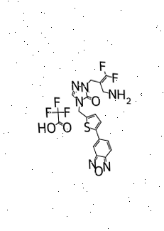 NCC(Cn1ncn(Cc2ccc(-c3ccc4nonc4c3)s2)c1=O)=C(F)F.O=C(O)C(F)(F)F